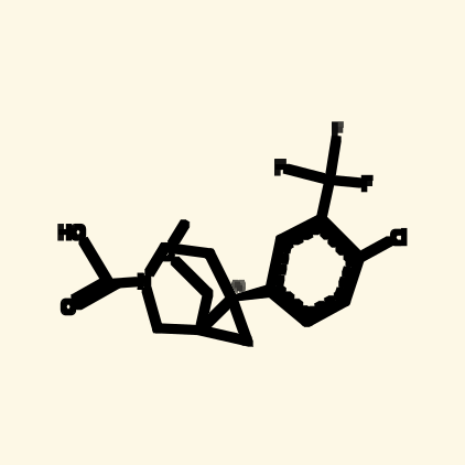 COCC12CN(C(=O)O)CC[C@]1(c1ccc(Cl)c(C(F)(F)F)c1)C2